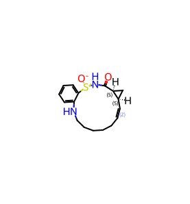 O=C1N[S+]([O-])c2ccccc2NCCCCC/C=C\[C@@H]2C[C@H]12